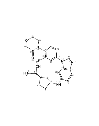 NC(O)[C@@H]1CC[C@@H](Nc2ncc3nnn(-c4ccc(N5CCOCC5=O)c(F)c4)c3n2)C1